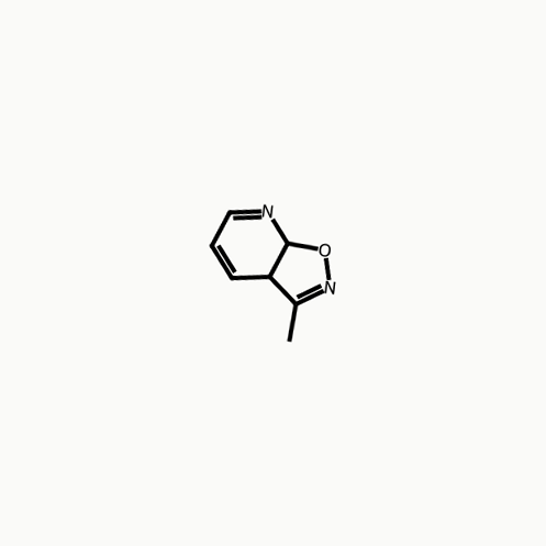 CC1=NOC2N=CC=CC12